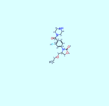 CCOCC1COC(=O)N1c1ccc(C(=O)N2CCNCC2)c(F)c1